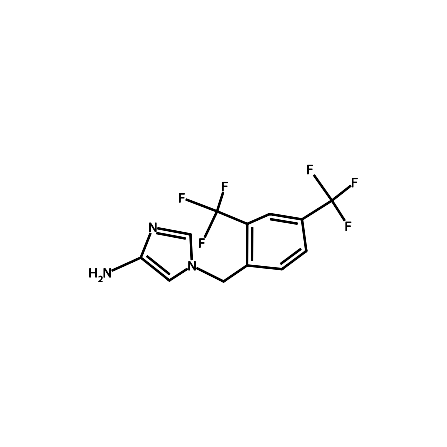 Nc1cn(Cc2ccc(C(F)(F)F)cc2C(F)(F)F)cn1